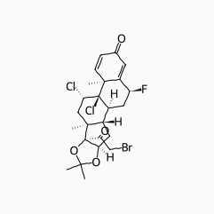 CC1(C)O[C@@H]2C[C@H]3[C@@H]4C[C@H](F)C5=CC(=O)C=C[C@]5(C)[C@@]4(Cl)[C@@H](Cl)C[C@]3(C)[C@]2(C(=O)CBr)O1